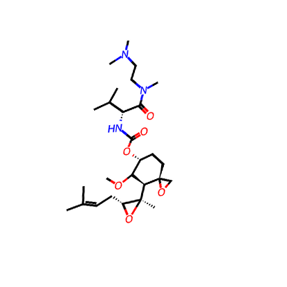 COC1[C@H](OC(=O)N[C@@H](C(=O)N(C)CCN(C)C)C(C)C)CC[C@]2(CO2)[C@H]1[C@@]1(C)O[C@@H]1CC=C(C)C